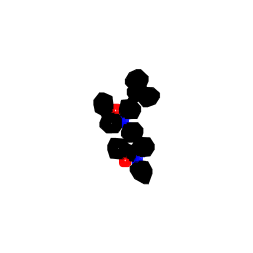 c1ccc(-n2c3cccc(-c4ccc(N(c5ccc(-c6cc7ccccc7c7ccccc67)cc5)c5cccc6c5oc5ccccc56)cc4)c3c3c4ccccc4oc32)cc1